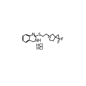 Cl.Cl.FC1(F)CC12CCN(CCSC1=Nc3ccccc3CN1)C2